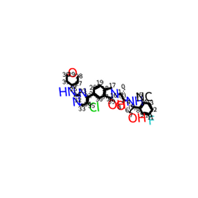 C[C@H](C(=O)N[C@H](CO)c1cc(F)ccc1C#N)N1Cc2ccc(-c3nc(NC4CCOCC4)ncc3Cl)cc2C1O